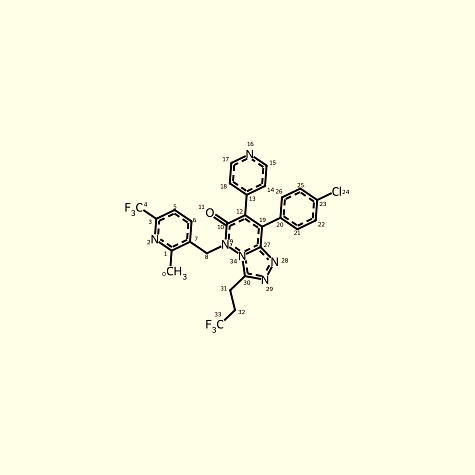 Cc1nc(C(F)(F)F)ccc1Cn1c(=O)c(-c2ccncc2)c(-c2ccc(Cl)cc2)c2nnc(CCC(F)(F)F)n21